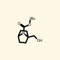 CC(C)(C)OC(=O)N1C2CCC1(CO)CC2